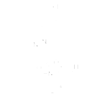 O=C(O)[C@]1(NS(=O)(=O)c2cnn(-c3ccc(Cl)cc3)c2)C[C@@H]1c1ccccc1